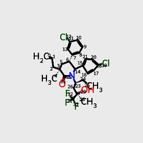 C=CC[C@@]1(C)C[C@H](c2cccc(Cl)c2)C(c2ccc(Cl)cc2)N([C@@H](CC)C[C@@](C)(O)C(F)(F)F)C1=O